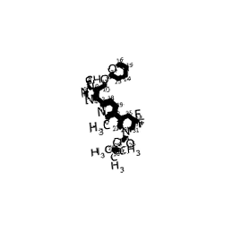 Cc1nc(-c2nnn(C)c2COC2CCCCO2)ccc1C1CN(C(=O)OC(C)(C)C)CC(F)(F)C1